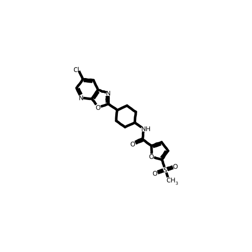 CS(=O)(=O)c1ccc(C(=O)NC2CCC(c3nc4cc(Cl)cnc4o3)CC2)o1